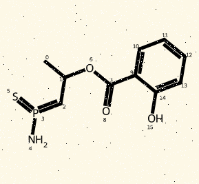 CC(/C=P(/N)=S)OC(=O)c1ccccc1O